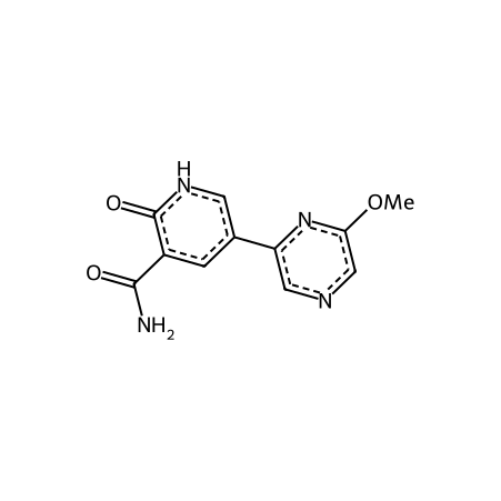 COc1cncc(-c2c[nH]c(=O)c(C(N)=O)c2)n1